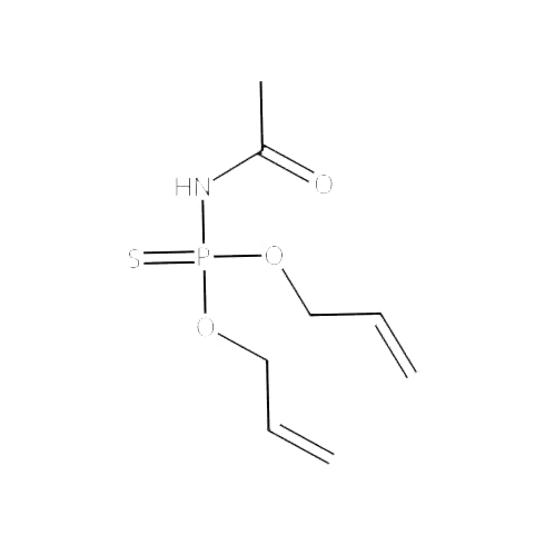 C=CCOP(=S)(NC(C)=O)OCC=C